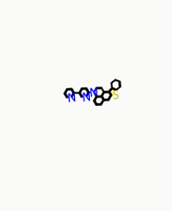 C1=Cc2sc3cc4cccc5c4c(c3c2CC1)C=CN5c1ccc(-c2ccccn2)cn1